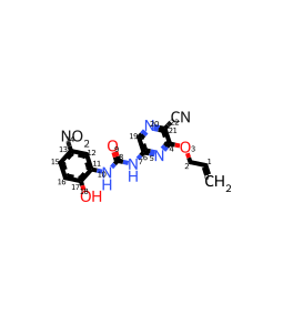 C=CCOc1nc(NC(=O)Nc2cc([N+](=O)[O-])ccc2O)cnc1C#N